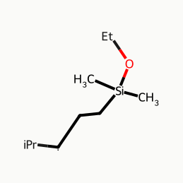 CCO[Si](C)(C)CC[CH]C(C)C